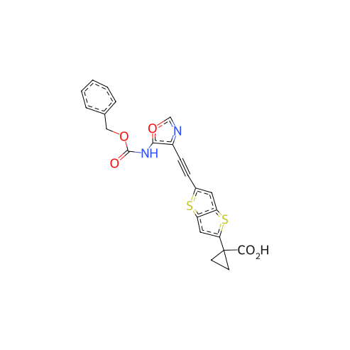 O=C(Nc1ocnc1C#Cc1cc2sc(C3(C(=O)O)CC3)cc2s1)OCc1ccccc1